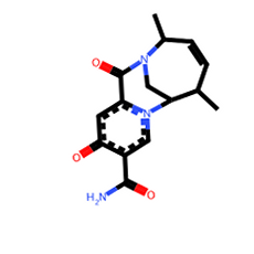 CC1C=CC(C)N2CC1n1cc(C(N)=O)c(=O)cc1C2=O